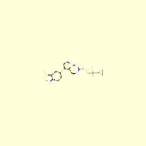 Cn1nnc2ccc(-c3ccn4nc(NCC(F)(F)C5CC5)ncc34)cc21